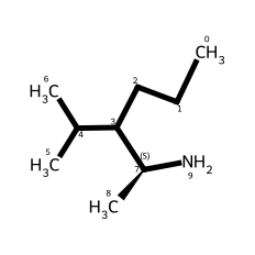 CCCC(C(C)C)[C@H](C)N